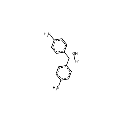 CC(C)O.Nc1ccc(Cc2ccc(N)cc2)cc1